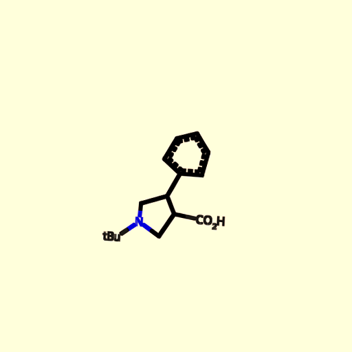 CC(C)(C)N1CC(C(=O)O)C(c2ccccc2)C1